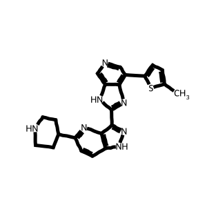 Cc1ccc(-c2cncc3[nH]c(-c4n[nH]c5ccc(C6CCNCC6)nc45)nc23)s1